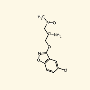 C[S+]([O-])C[C@H](N)COc1noc2ccc(Cl)cc12